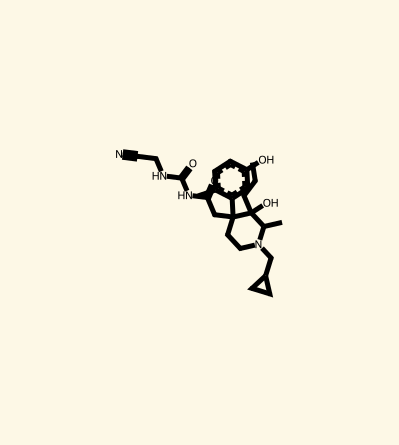 CCCC1(O)C(C)N(CC2CC2)CCC1(CC(=O)NC(=O)NCC#N)c1cc(O)ccc1C